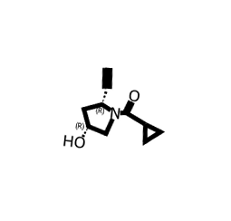 C#C[C@H]1C[C@@H](O)CN1C(=O)C1CC1